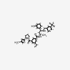 Cc1coc([C@H]2CCCN2C(=O)c2cc(CF)cc(C(=O)N[C@@H](C)CC(NCc3cccc(C(F)(F)F)c3)c3cccc(O)c3)c2)n1